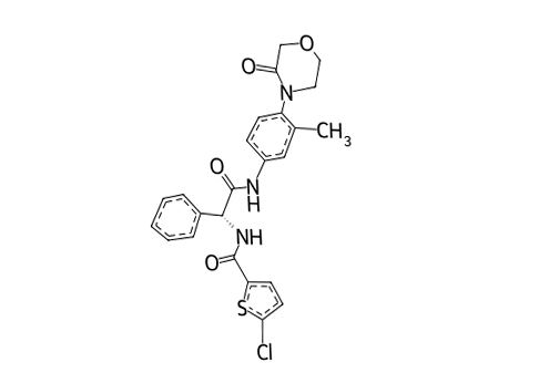 Cc1cc(NC(=O)[C@H](NC(=O)c2ccc(Cl)s2)c2ccccc2)ccc1N1CCOCC1=O